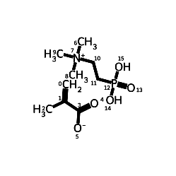 C=C(C)C(=O)[O-].C[N+](C)(C)CCP(=O)(O)O